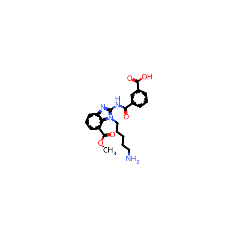 COC(=O)c1cccc2nc(NC(=O)c3cccc(C(=O)O)c3)n(CCCCCN)c12